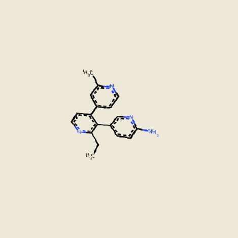 CCc1nccc(-c2ccnc(C)c2)c1-c1ccc(N)nc1